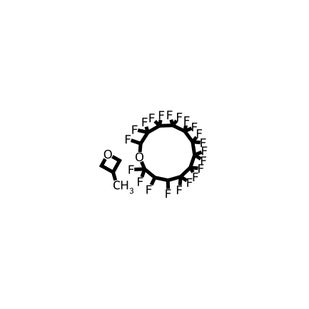 CC1COC1.FC1C(F)C(F)(F)C(F)(F)C(F)(F)C(F)(F)C(F)(F)C(F)(F)C(F)(F)C(F)(F)C(F)OC1(F)F